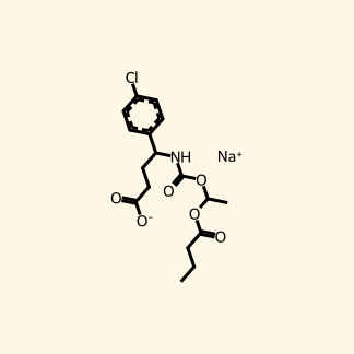 CCCC(=O)OC(C)OC(=O)NC(CCC(=O)[O-])c1ccc(Cl)cc1.[Na+]